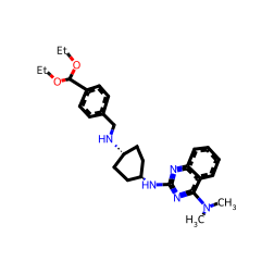 CCOC(OCC)c1ccc(CN[C@H]2CC[C@@H](Nc3nc(N(C)C)c4ccccc4n3)CC2)cc1